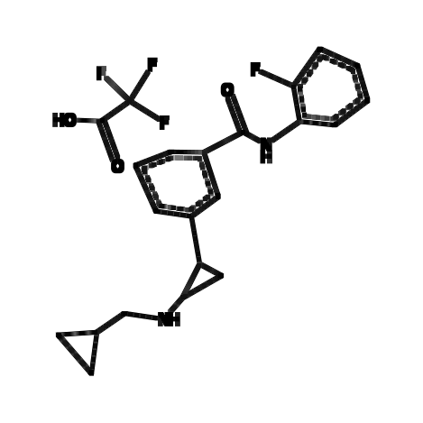 O=C(Nc1ccccc1F)c1cccc(C2CC2NCC2CC2)c1.O=C(O)C(F)(F)F